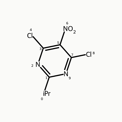 CC(C)c1nc(Cl)c([N+](=O)[O-])c(Cl)n1